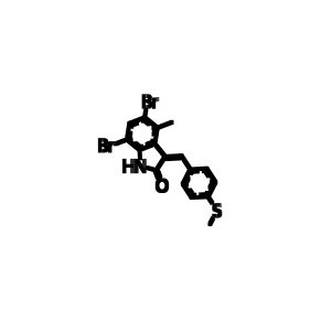 CSc1ccc(C=C2C(=O)Nc3c(Br)cc(Br)c(C)c32)cc1